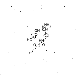 CCCCCC(=O)OCC(=O)NCc1ccc(-c2csc(N)n2)s1.O=C(O)/C=C\C(=O)O